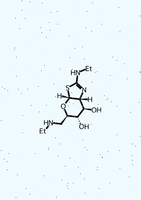 CCNC[C@H]1O[C@@H]2SC(NCC)=N[C@@H]2[C@@H](O)[C@@H]1O